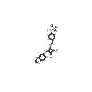 CS(=O)(=O)Nc1ccc(CNc2c(Nc3ccc4[nH]cnc4c3)c(=O)c2=O)cc1